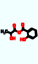 CC(O)C(=O)OC(=O)c1ccccc1O